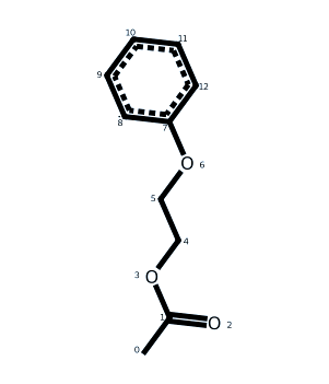 CC(=O)OCCOc1[c]cccc1